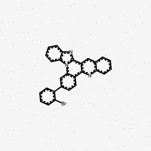 Brc1ccccc1-c1ccc2c3nc4ccccc4cc3c3nc4ccccc4n3c2c1